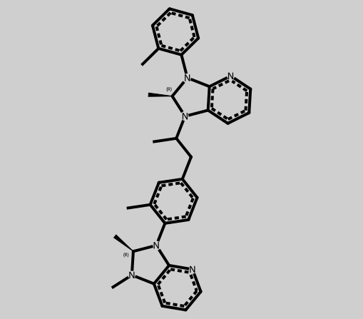 Cc1cc(CC(C)N2c3cccnc3N(c3ccccc3C)[C@@H]2C)ccc1N1c2ncccc2N(C)[C@H]1C